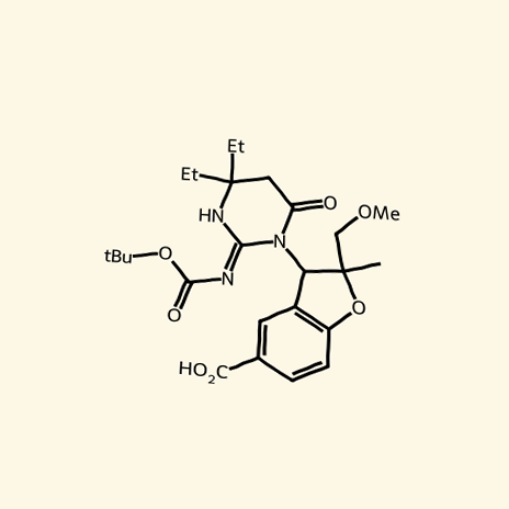 CCC1(CC)CC(=O)N(C2c3cc(C(=O)O)ccc3OC2(C)COC)C(=NC(=O)OC(C)(C)C)N1